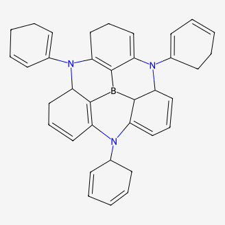 C1=CCCC(N2C3=CCCC4=C3B3C5=C(C=CCC5N4C4=CCCC=C4)N(C4C=CC=CC4)C4=CC=CC2C34)=C1